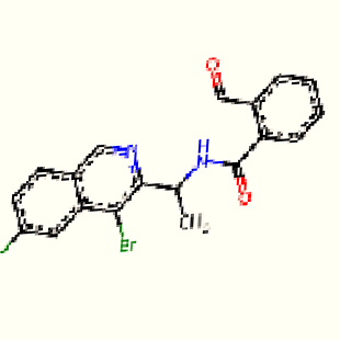 CC(NC(=O)c1ccccc1C=O)c1ncc2ccc(F)cc2c1Br